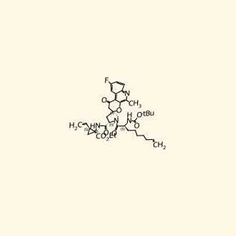 C=CCCCCC[C@H](NC(=O)OC(C)(C)C)C(=O)N1C[C@@]2(CC(=O)c3c(c(C)nc4ccc(F)cc34)O2)C[C@H]1C(=O)N[C@]1(C(=O)OCC)C[C@H]1C=C